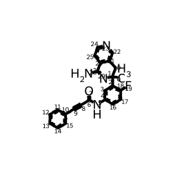 CC1(c2cc(NC(=O)C#Cc3ccccc3)ccc2F)Cc2cnccc2C(N)=N1